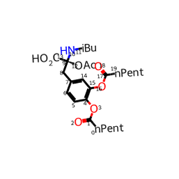 CCCCCC(=O)Oc1ccc(C[C@](NC(C)CC)(OC(C)=O)C(=O)O)cc1OC(=O)CCCCC